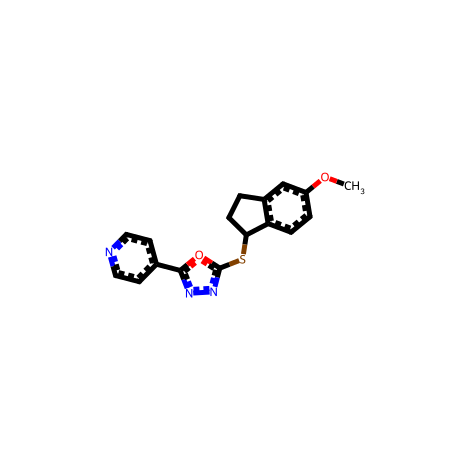 COc1ccc2c(c1)CCC2Sc1nnc(-c2ccncc2)o1